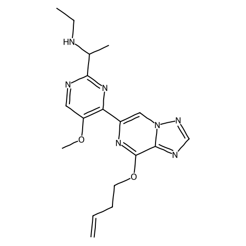 C=CCCOc1nc(-c2nc(C(C)NCC)ncc2OC)cn2ncnc12